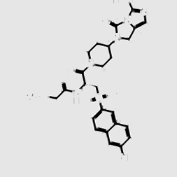 COCC(=O)N[C@H](CS(=O)(=O)c1ccc2cc(Cl)ccc2c1)C(=O)N1CCC(N2Cc3cnc(C)n3C2=O)CC1